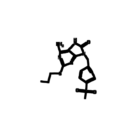 CCCSc1nc(N)c2[nH]c(=O)n(Cc3ccc(S(C)(=O)=O)cc3)c2n1